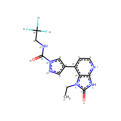 CCn1c(=O)[nH]c2nccc(-c3cnn(C(=O)NCC(F)(F)F)c3)c21